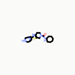 O=C(NC1CCCCCC1)N1CCc2nc(N3C4CCC3CNC4)sc2C1